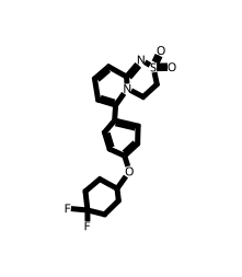 O=S1(=O)CCN2C(c3ccc(OC4CCC(F)(F)CC4)cc3)=CC=CC2=N1